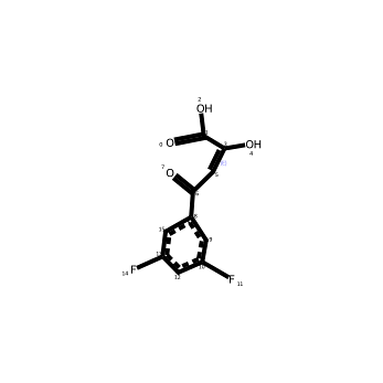 O=C(O)/C(O)=C\C(=O)c1cc(F)cc(F)c1